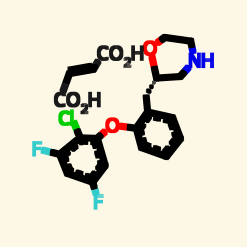 Fc1cc(F)c(Cl)c(Oc2ccccc2C[C@H]2CNCCO2)c1.O=C(O)C=CC(=O)O